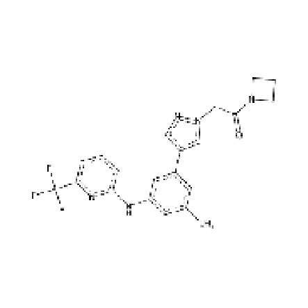 Cc1cc(Nc2nccc(C(F)(F)F)n2)cc(-c2cnn(CC(=O)N3CCC3)c2)c1